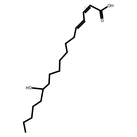 CCCCCC(O)CCCCCCCC=C/C=C\C(=O)O